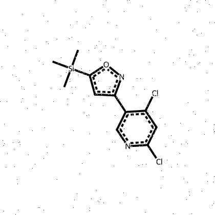 C[Si](C)(C)c1cc(-c2cnc(Cl)cc2Cl)no1